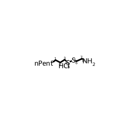 CCCCCCCCSSCCN.Cl